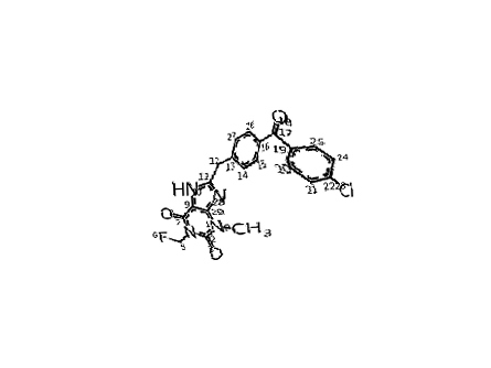 Cn1c(=O)n(CF)c(=O)c2[nH]c(Cc3ccc(C(=O)c4ccc(Cl)cc4)cc3)nc21